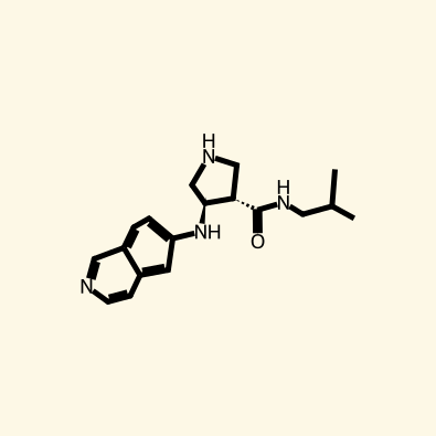 CC(C)CNC(=O)[C@H]1CNC[C@@H]1Nc1ccc2cnccc2c1